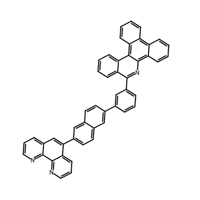 c1cc(-c2ccc3cc(-c4cc5cccnc5c5ncccc45)ccc3c2)cc(-c2nc3c4ccccc4c4ccccc4c3c3ccccc23)c1